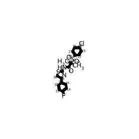 CC(C)(C(=O)NC1=NC(c2ccc(F)cc2)CS1)S(=O)(=O)c1ccc(Cl)cc1